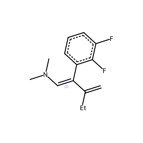 C=C(CC)/C(=C/N(C)C)c1cccc(F)c1F